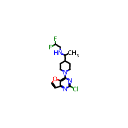 CC(NCC(F)F)C1CCN(c2nc(Cl)nc3ccoc23)CC1